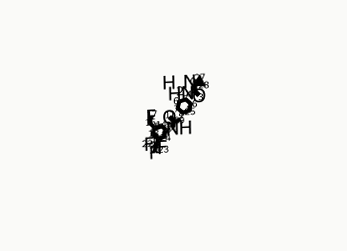 NC1(C(=O)N[C@H]2CC[C@@H](CC(=O)Nc3cc(CF)cc(C(F)(F)F)c3)CC2)CC1